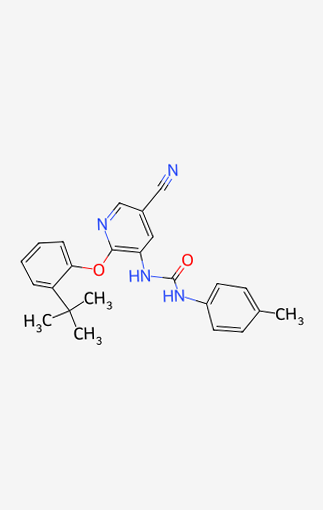 Cc1ccc(NC(=O)Nc2cc(C#N)cnc2Oc2ccccc2C(C)(C)C)cc1